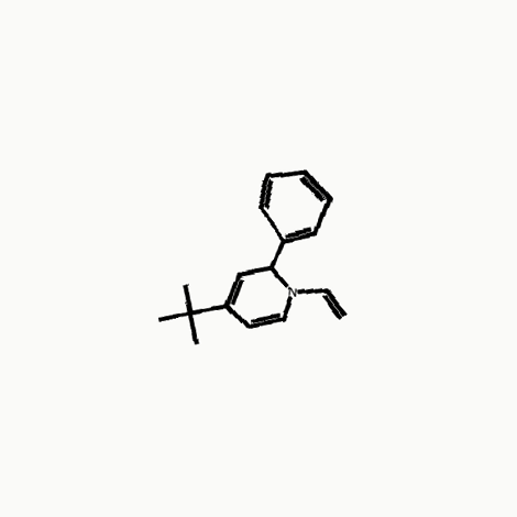 C=CN1C=CC(C(C)(C)C)=CC1c1ccccc1